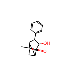 O=C1CC2C3CC1C3C(O)C2c1ccccc1